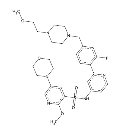 COCCN1CCN(Cc2ccc(-c3cc(NS(=O)(=O)c4cc(N5CCOCC5)cnc4OC)ccn3)c(F)c2)CC1